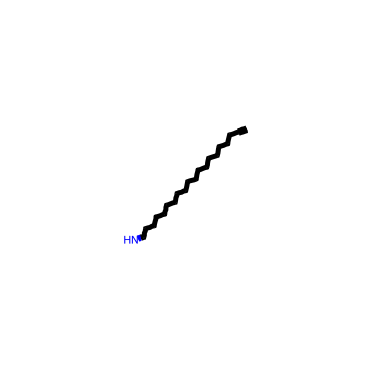 C#CCCCCCCCCCCCCCCCCCC=N